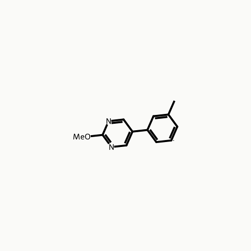 COc1ncc(-c2c[c]cc(C)c2)cn1